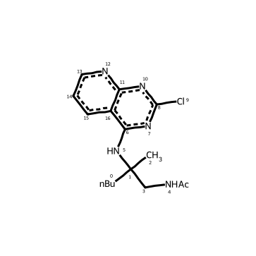 CCCCC(C)(CNC(C)=O)Nc1nc(Cl)nc2ncccc12